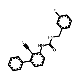 N#Cc1c(NC(=O)NCc2cccc(F)c2)cccc1-c1ccccc1